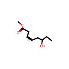 CCC(O)C/C=C\CC(=O)OC